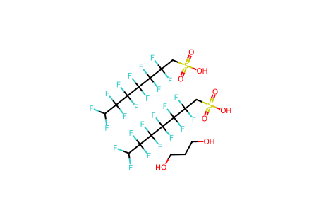 O=S(=O)(O)CC(F)(F)C(F)(F)C(F)(F)C(F)(F)C(F)(F)C(F)F.O=S(=O)(O)CC(F)(F)C(F)(F)C(F)(F)C(F)(F)C(F)(F)C(F)F.OCCCO